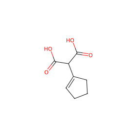 O=C(O)C(C(=O)O)C1=CCCC1